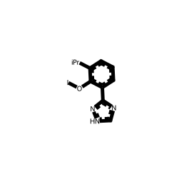 CC(C)c1cccc(-c2nc[nH]n2)c1OI